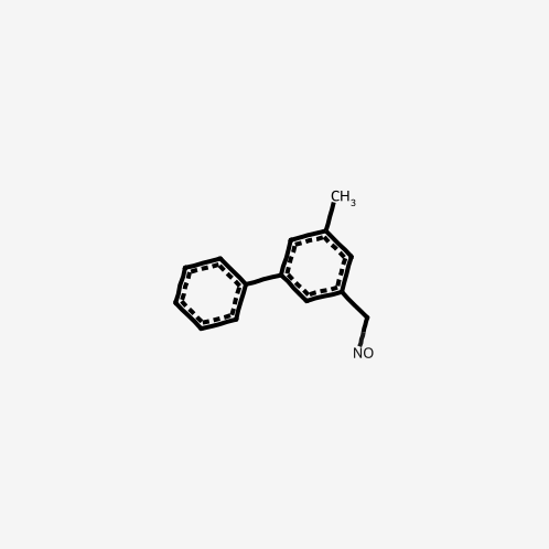 Cc1cc(CN=O)cc(-c2ccccc2)c1